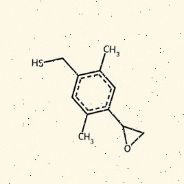 Cc1cc(C2CO2)c(C)cc1CS